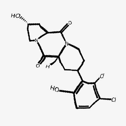 O=C1[C@H]2CC(c3c(O)ccc(Cl)c3Cl)CCN2C(=O)C2C[C@@H](O)CN12